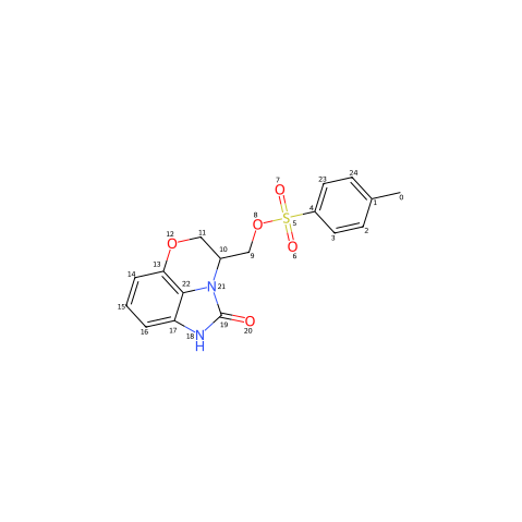 Cc1ccc(S(=O)(=O)OCC2COc3cccc4[nH]c(=O)n2c34)cc1